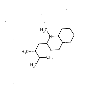 CC(C)C(C)CC1CCC2CCCCC2N1C